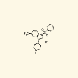 CN1CC=C(c2cn(S(=O)(=O)c3ccccc3)c3ccc(C(F)(F)F)cc23)CC1.Cl